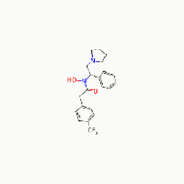 O=C(Cc1ccc(C(F)(F)F)cc1)N(O)C(CN1CCCC1)c1ccccc1